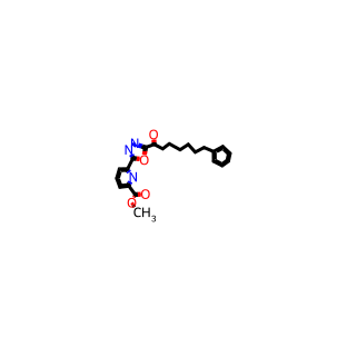 COC(=O)c1cccc(-c2nnc(C(=O)CCCCCCc3ccccc3)o2)n1